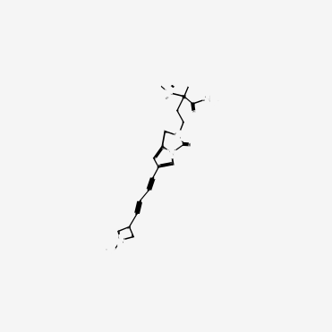 CC(=O)N1CC(C#CC#Cc2cc3n(c2)C(=O)N(CCC(C)(C(=O)NO)S(C)(=O)=O)C3)C1